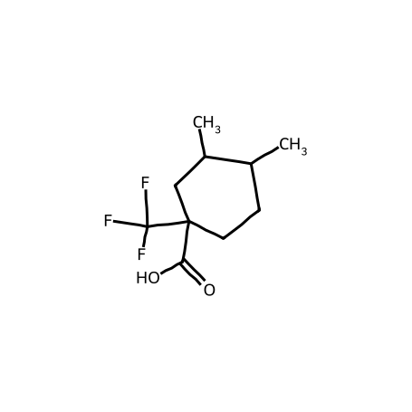 CC1CCC(C(=O)O)(C(F)(F)F)CC1C